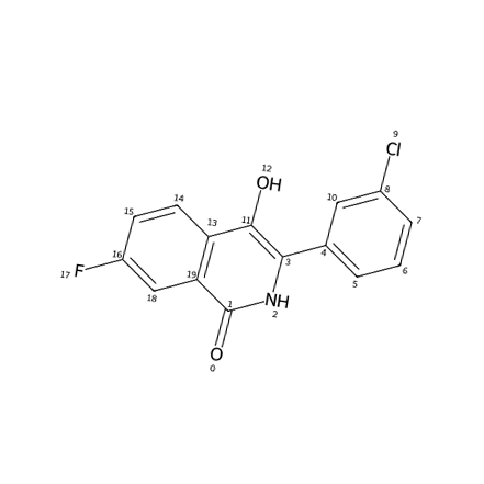 O=c1[nH]c(-c2cccc(Cl)c2)c(O)c2ccc(F)cc12